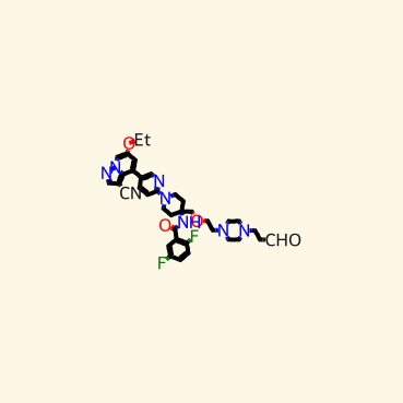 CCOc1cc(-c2ccc(N3CCC(COCCN4CCN(CCC=O)CC4)(NC(=O)c4cc(F)ccc4F)CC3)nc2)c2c(C#N)cnn2c1